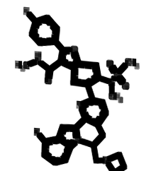 CNC(=O)c1c(-c2ccc(F)cc2)oc2cc(N(C)S(C)(=O)=O)c(-c3ccc4c(n3)-c3cc5c(F)cccc5n3C(CN3CCC3)C4)cc12